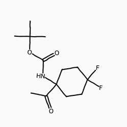 CC(=O)C1(NC(=O)OC(C)(C)C)CCC(F)(F)CC1